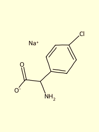 NC(C(=O)[O-])c1ccc(Cl)cc1.[Na+]